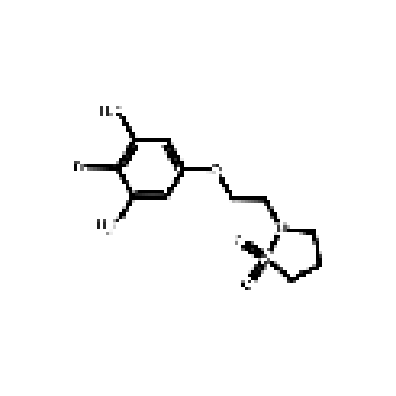 Cc1cc(OCCN2CCCS2(=O)=O)cc(C)c1Br